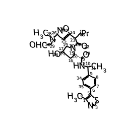 Cc1ncsc1-c1ccc(C(C)NC(=O)[C@@H]2C[C@@H](O)CN2C(=O)C(c2cc(N(C)CC=O)no2)C(C)C)cc1